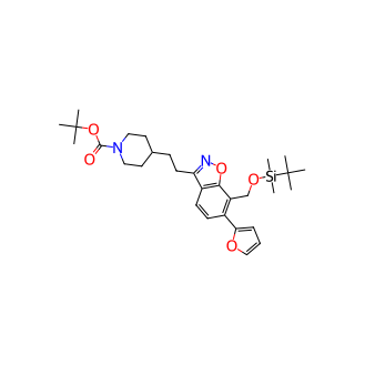 CC(C)(C)OC(=O)N1CCC(CCc2noc3c(CO[Si](C)(C)C(C)(C)C)c(-c4ccco4)ccc23)CC1